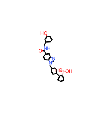 O=C(NCc1cccc(O)c1)c1ccc2c(c1)ncn2Cc1ccc(-c2ccccc2B(O)O)cc1